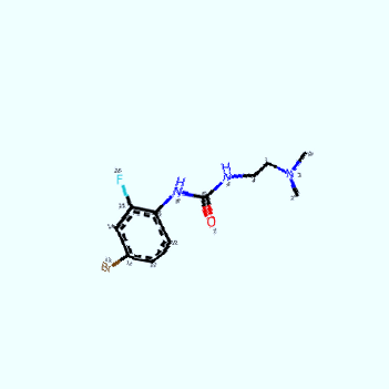 CN(C)CCNC(=O)Nc1ccc(Br)cc1F